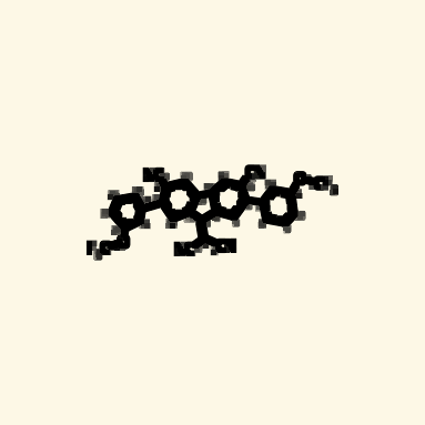 N#CC(C#N)=C1c2cc(-c3cccc(OC(F)(F)F)c3)c(C#N)cc2-c2cc(C#N)c(-c3cccc(OC(F)(F)F)c3)cc21